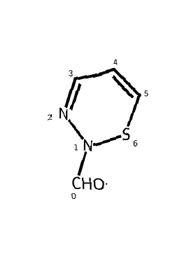 O=[C]N1N=CC=CS1